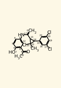 C=C(Nc1ccc(O)c(C(C)=O)c1)C1C(c2cc(Cl)cc(Cl)c2)C1(C)Cl